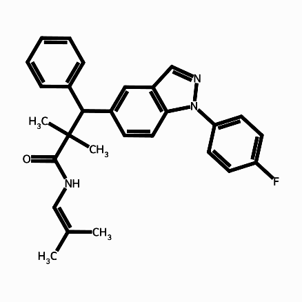 CC(C)=CNC(=O)C(C)(C)C(c1ccccc1)c1ccc2c(cnn2-c2ccc(F)cc2)c1